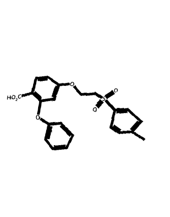 Cc1ccc(S(=O)(=O)CCOc2ccc(C(=O)O)c(Oc3ccccc3)c2)cc1